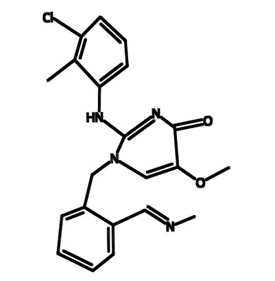 C/N=C/c1ccccc1Cn1cc(OC)c(=O)nc1Nc1cccc(Cl)c1C